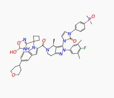 Cc1cc(-n2nc3c(c2-n2ccn(-c4ccc(P(C)(C)=O)cc4)c2=O)[C@H](C)N(C(=O)c2cc4cc(C5CCOCC5)ccc4n2C2(C4=NOC(O)N4)CCC2)CC3)cc(C)c1F